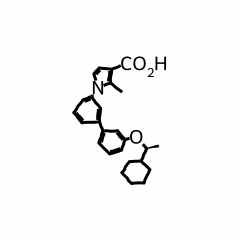 Cc1c(C(=O)O)ccn1-c1cccc(-c2cccc(O[C@@H](C)C3CCCCC3)c2)c1